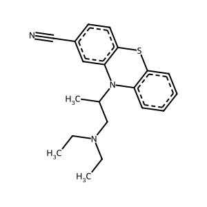 CCN(CC)CC(C)N1c2ccccc2Sc2ccc(C#N)cc21